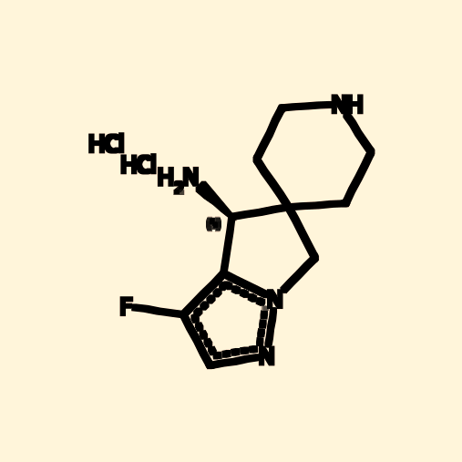 Cl.Cl.N[C@@H]1c2c(F)cnn2CC12CCNCC2